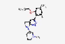 COCOc1cc(C(F)(F)F)cc(C)c1-c1cc2c(nn1)N([C@@H]1CCCN(C(C)C)C1)CC2